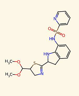 COC(OC)C1CN=C(C2Cc3cccc(NS(=O)(=O)c4ccccn4)c3N2)S1